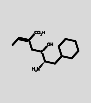 C/C=C(\CP(O)[C@@H](N)CC1CCCCC1)C(=O)O